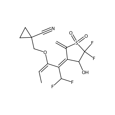 C=C1/C(=C(\C(=C/C)OCC2(C#N)CC2)C(F)F)C(O)C(F)(F)S1(=O)=O